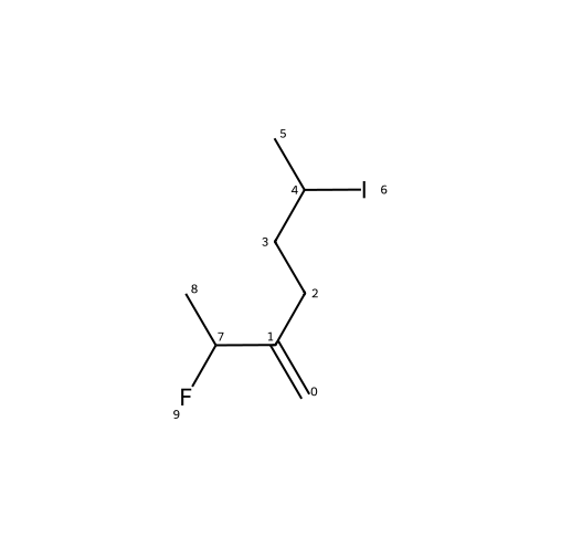 C=C(CCC(C)I)C(C)F